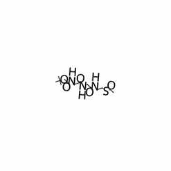 CC(=O)SCCNC(=O)CNC(=O)CNC(=O)OC(C)(C)C